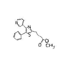 COC(=O)CCCc1nc(-c2cccnc2)c(-c2ccccc2)s1